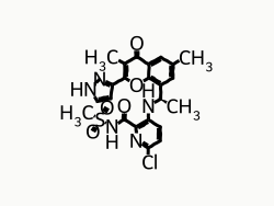 Cc1cc([C@@H](C)Nc2ccc(Cl)nc2C(=O)NS(C)(=O)=O)c2oc(-c3cc[nH]n3)c(C)c(=O)c2c1